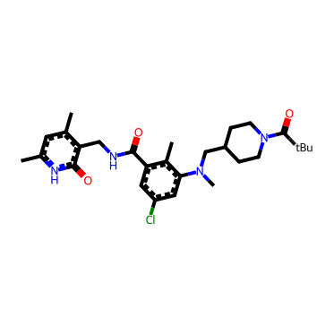 Cc1cc(C)c(CNC(=O)c2cc(Cl)cc(N(C)CC3CCN(C(=O)C(C)(C)C)CC3)c2C)c(=O)[nH]1